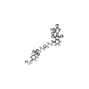 Cc1ccc(S(=O)(=O)OCCCOCCCSc2cccc3c2C(=O)N(C2CCC(=O)NC2=O)C3=O)cc1